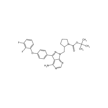 CC(C)(C)OC(=O)N1CCCC1Cn1nc(-c2ccc(Oc3cccc(F)c3F)cc2)c2c(N)ncnc21